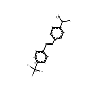 CC(N)c1ccc(/C=C/c2ccc(C(F)(F)F)cc2)cc1